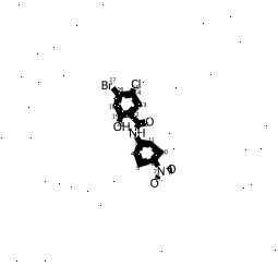 O=C(Nc1ccc([N+](=O)[O-])cc1)c1cc(Cl)c(Br)cc1O